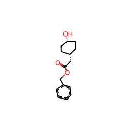 O=C(C[C@H]1CC[C@@H](O)CC1)OCc1ccccc1